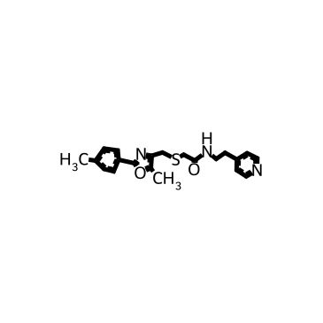 Cc1ccc(-c2nc(CSCC(=O)NCCc3ccncc3)c(C)o2)cc1